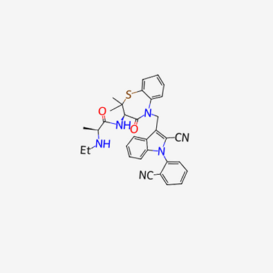 CCN[C@@H](C)C(=O)N[C@@H]1C(=O)N(Cc2c(C#N)n(-c3ccccc3C#N)c3ccccc23)c2ccccc2SC1(C)C